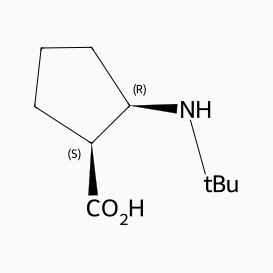 CC(C)(C)N[C@@H]1CCC[C@@H]1C(=O)O